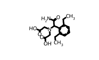 CCc1cccc(CC)c1C(C(N)=O)N(CC(=O)O)CC(=O)O